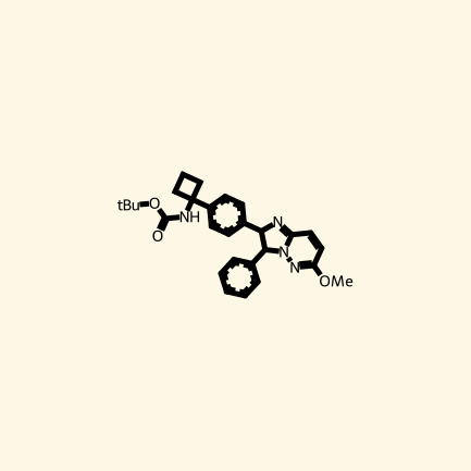 COC1=NN2C(=NC(c3ccc(C4(NC(=O)OC(C)(C)C)CCC4)cc3)C2c2ccccc2)C=C1